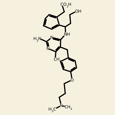 Cc1nc(N)nc(NC(CCO)c2ccccc2CC(=O)O)c1Cc1ccc(OCCCN(C)C)cc1